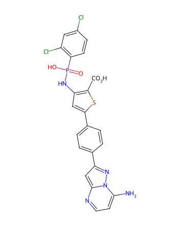 Nc1ccnc2cc(-c3ccc(-c4cc(NP(=O)(O)c5ccc(Cl)cc5Cl)c(C(=O)O)s4)cc3)nn12